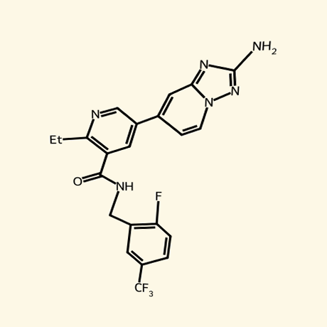 CCc1ncc(-c2ccn3nc(N)nc3c2)cc1C(=O)NCc1cc(C(F)(F)F)ccc1F